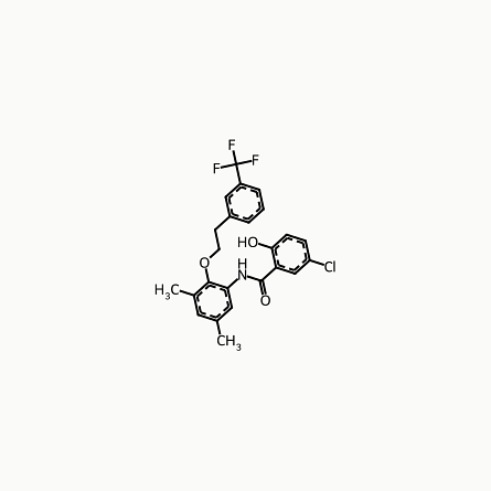 Cc1cc(C)c(OCCc2cccc(C(F)(F)F)c2)c(NC(=O)c2cc(Cl)ccc2O)c1